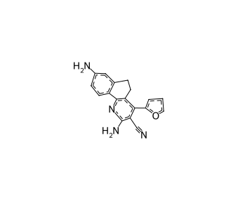 N#Cc1c(N)nc2c(c1-c1ccco1)CCc1cc(N)ccc1-2